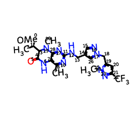 CO[C@H](C)C1C(=O)Nc2c(C)nc(NCc3cnn(Cc4cc(C(F)(F)F)nn4C)c3)nc2N1C